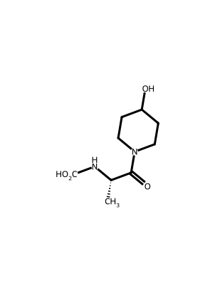 C[C@H](NC(=O)O)C(=O)N1CCC(O)CC1